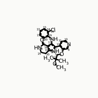 COC(C)(C)COc1cnccc1-c1[nH]c2c(c1Nc1ccccc1Cl)C(=O)NCC2